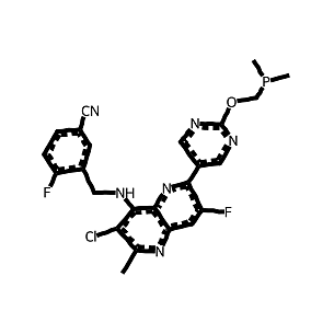 Cc1nc2cc(F)c(-c3cnc(OCP(C)C)nc3)nc2c(NCc2cc(C#N)ccc2F)c1Cl